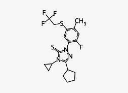 Cc1cc(F)c(-n2nc(C3CCCC3)n(C3CC3)c2=S)cc1SCC(F)(F)F